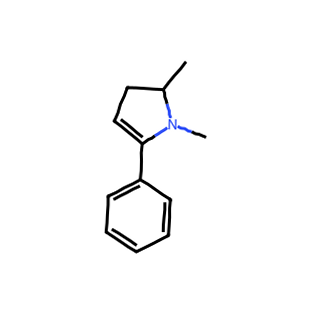 CC1CC=C(c2ccccc2)N1C